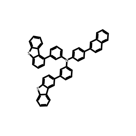 c1cc(-c2ccc3sc4ccccc4c3c2)cc(N(c2ccc(-c3ccc4ccccc4c3)cc2)c2cccc(-c3cccc4sc5ccccc5c34)c2)c1